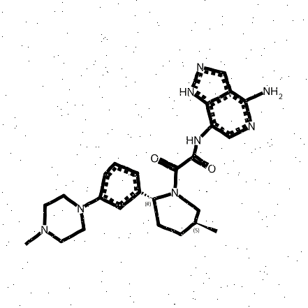 C[C@H]1CC[C@H](c2cccc(N3CCN(C)CC3)c2)N(C(=O)C(=O)Nc2cnc(N)c3cn[nH]c23)C1